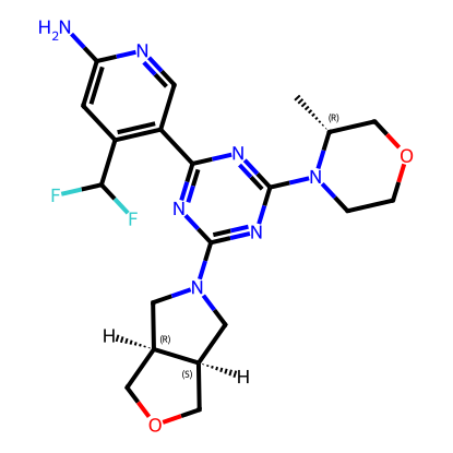 C[C@@H]1COCCN1c1nc(-c2cnc(N)cc2C(F)F)nc(N2C[C@H]3COC[C@H]3C2)n1